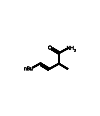 CCCCC=CC(C)C(N)=O